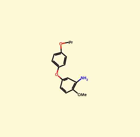 COc1ccc(Oc2ccc(OC(C)C)cc2)cc1N